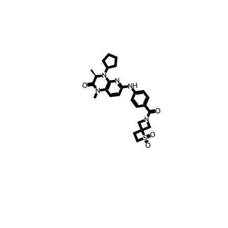 C[C@@H]1C(=O)N(C)c2ccc(Nc3ccc(C(=O)N4CC5(CCS5(=O)=O)C4)cc3)nc2N1C1CCCC1